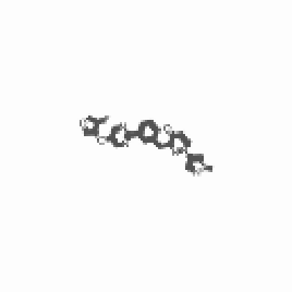 Cn1cc(-n2ccc(=O)c(Cc3cccc(-c4ncc(OC5COCC5F)cn4)c3)n2)cn1